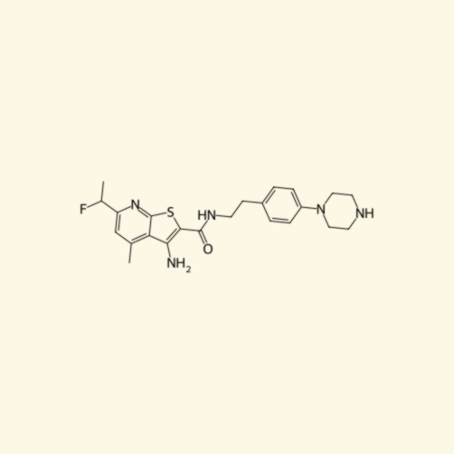 Cc1cc(C(C)F)nc2sc(C(=O)NCCc3ccc(N4CCNCC4)cc3)c(N)c12